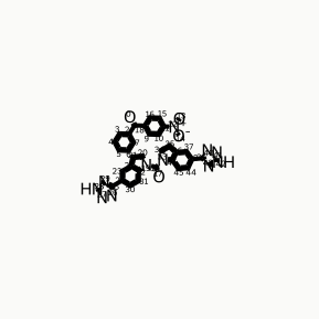 O=C(c1ccccc1)c1ccc([N+](=O)[O-])cc1.O=C(n1ccc2cc(-c3nn[nH]n3)ccc21)n1ccc2cc(-c3nn[nH]n3)ccc21